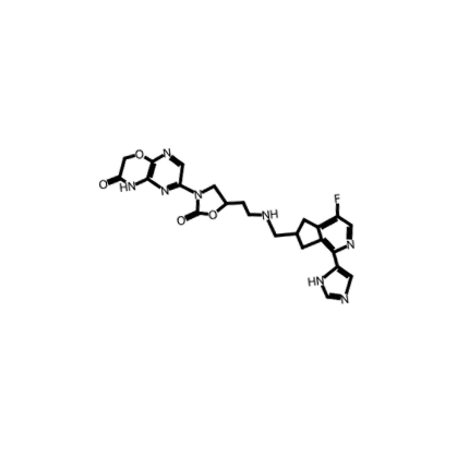 O=C1COc2ncc(N3CC(CCNCC4Cc5c(F)cnc(-c6cnc[nH]6)c5C4)OC3=O)nc2N1